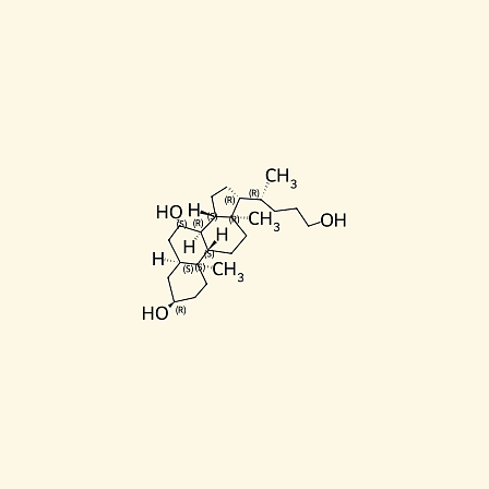 C[C@H](CCCO)[C@H]1CC[C@H]2[C@@H]3[C@@H](O)C[C@@H]4C[C@H](O)CC[C@]4(C)[C@H]3CC[C@]12C